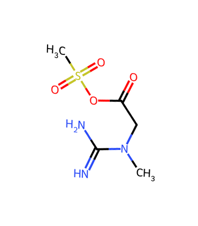 CN(CC(=O)OS(C)(=O)=O)C(=N)N